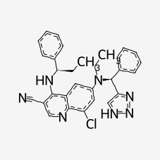 CC[C@@H](Nc1c(C#N)cnc2c(Cl)cc(N(CC)[C@@H](c3ccccc3)c3c[nH]nn3)cc12)c1ccccc1